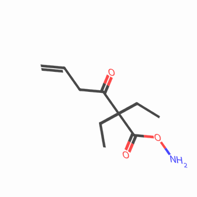 C=CCC(=O)C(CC)(CC)C(=O)ON